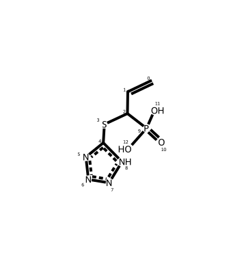 C=CC(Sc1nnn[nH]1)P(=O)(O)O